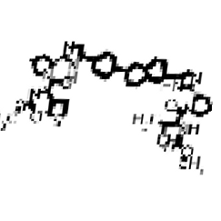 COC(=O)N[C@H](C(=O)N1CCC[C@H]1c1ncc(-c2ccc(-c3ccc4cc(-c5cnc([C@@H]6CCCN6C(=O)[C@@H](NC(=O)OC)C(C)C)[nH]5)ccc4c3)cc2)[nH]1)c1ccsc1